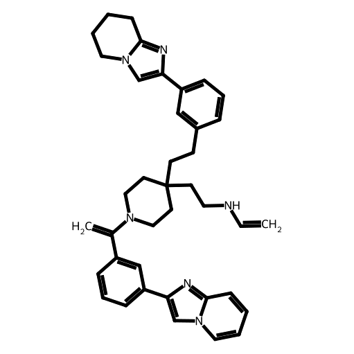 C=CNCCC1(CCc2cccc(-c3cn4c(n3)CCCC4)c2)CCN(C(=C)c2cccc(-c3cn4ccccc4n3)c2)CC1